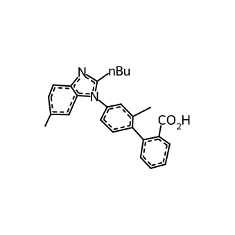 CCCCc1nc2ccc(C)cc2n1-c1ccc(-c2ccccc2C(=O)O)c(C)c1